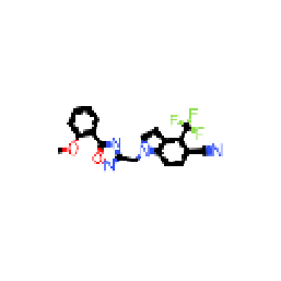 COc1ccccc1-c1nc(Cn2ccc3c(C(F)(F)F)c(C#N)ccc32)no1